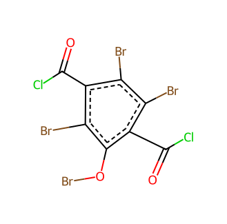 O=C(Cl)c1c(Br)c(Br)c(C(=O)Cl)c(OBr)c1Br